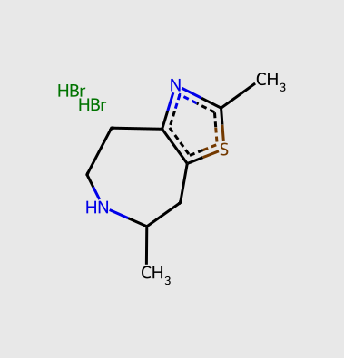 Br.Br.Cc1nc2c(s1)CC(C)NCC2